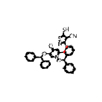 N#Cc1c(SCc2cc(=O)c(OC(c3ccccc3)c3ccccc3)cn2OC(c2ccccc2)c2ccccc2)nsc1S